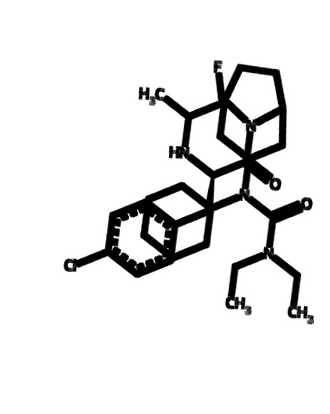 CCN(CC)C(=O)N(C1CCCCC1)C1CC2CCC(C1)N2C(=O)[C@@H](Cc1ccc(Cl)cc1)NC(C)CF